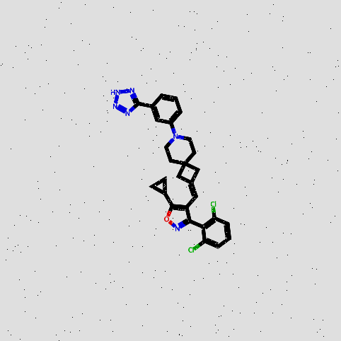 Clc1cccc(Cl)c1-c1noc(C2CC2)c1C=C1CC2(CCN(c3cccc(-c4nn[nH]n4)c3)CC2)C1